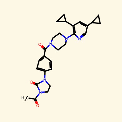 CC(=O)N1CCN(c2ccc(C(=O)N3CCN(c4ncc(C5CC5)cc4C4CC4)CC3)cc2)C1=O